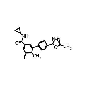 Cc1nnc(-c2ccc(-c3cc(C(=O)NC4CC4)cc(F)c3C)cc2)o1